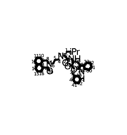 CC(C)C[C@H](N=CCCN1Cc2cccc3cccc(c23)C1=O)C(=O)N[C@@H](Cc1c[nH]c2ccccc12)C(=O)OCc1ccccc1